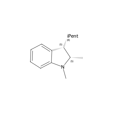 CCC[C@@H](C)[C@H]1c2ccccc2N(C)[C@H]1C